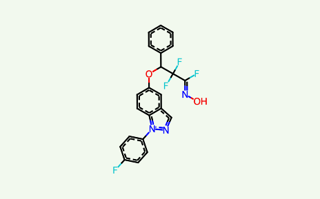 ON=C(F)C(F)(F)C(Oc1ccc2c(cnn2-c2ccc(F)cc2)c1)c1ccccc1